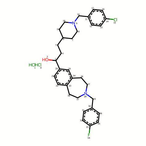 Cl.Cl.OC(CCC1CCN(Cc2ccc(Cl)cc2)CC1)c1ccc2c(c1)CCN(Cc1ccc(F)cc1)CC2